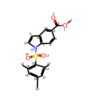 COC(=O)c1ccc2c(ccn2S(=O)(=O)c2c(C)cc(C)cc2C)c1